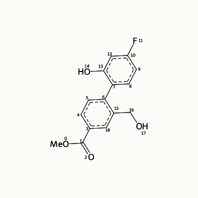 COC(=O)c1ccc(-c2ccc(F)cc2O)c(CO)c1